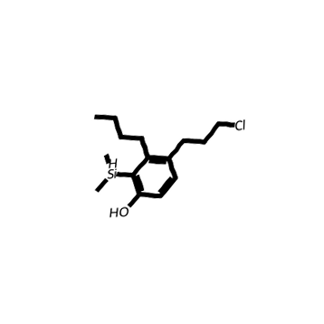 CCCCc1c(CCCCl)ccc(O)c1[SiH](C)C